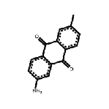 Cc1ccc2c(c1)C(=O)c1ccc(N)cc1C2=O